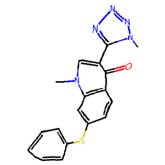 Cn1nnnc1-c1cn(C)c2cc(Sc3ccccc3)ccc2c1=O